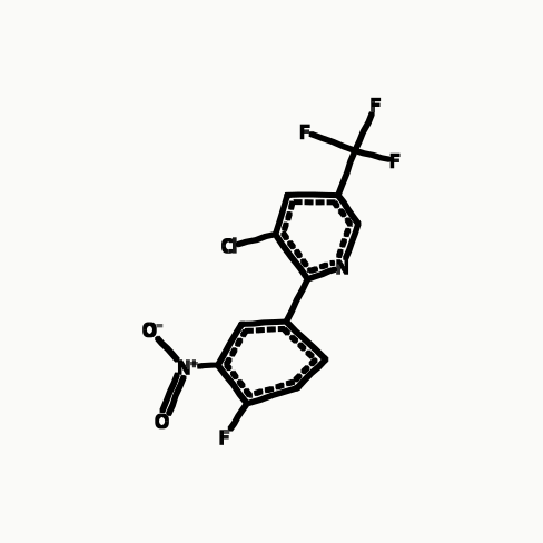 O=[N+]([O-])c1cc(-c2ncc(C(F)(F)F)cc2Cl)ccc1F